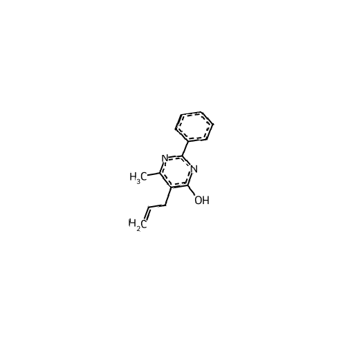 C=CCc1c(C)nc(-c2ccccc2)nc1O